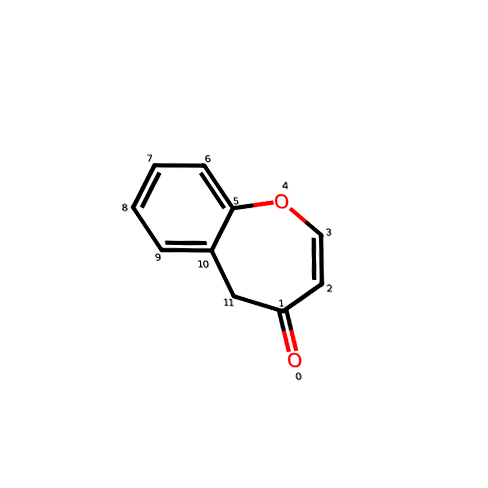 O=C1C=COc2ccccc2C1